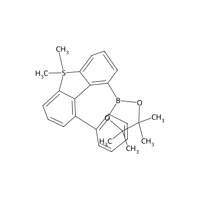 CC1(C)OB(c2cccc3c2-c2c(-c4ccccc4)cccc2S3(C)C)OC1(C)C